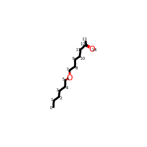 CCCCCCOCCCCCC(C)=O